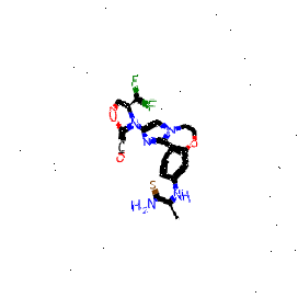 C[C@H](Nc1ccc2c(c1)OCCn1cc(N3C(=C=O)OC[C@H]3C(F)F)nc1-2)C(N)=S